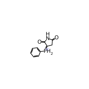 O=C1C/C(=[PH2]/c2ccccc2)C(=O)N1